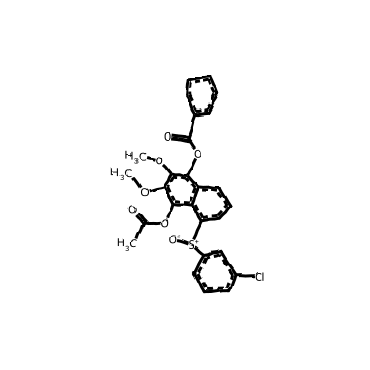 COc1c(OC)c(OC(C)=O)c2c([S+]([O-])c3cccc(Cl)c3)cccc2c1OC(=O)c1ccccc1